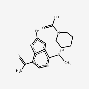 CN(c1ncc(C(N)=O)c2sc(Br)cc12)[C@H]1CCCN(C(=O)O)C1